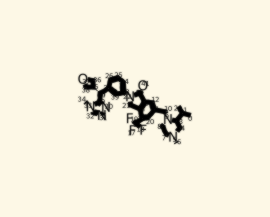 CC(C)C1CN(C)CCN1Cc1cc2c(c(C(F)(F)F)c1)CN(c1cccc([C@H](c3nncn3C)C3COC3)c1)C2=O